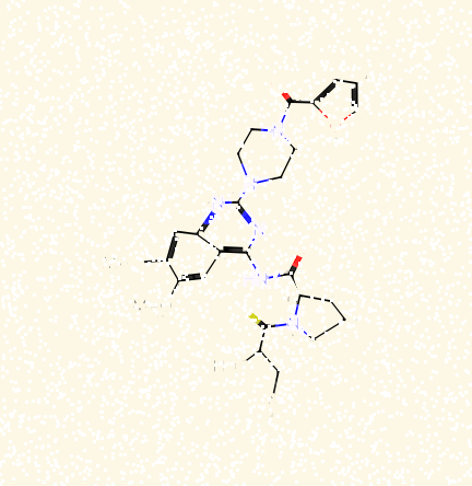 COc1cc2nc(N3CCN(C(=O)c4ccco4)CC3)nc(NC(=O)[C@H]3CCCN3C(=S)C(C)CC(C)=O)c2cc1OC